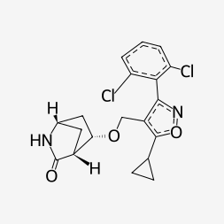 O=C1N[C@@H]2C[C@H](OCc3c(-c4c(Cl)cccc4Cl)noc3C3CC3)[C@H]1C2